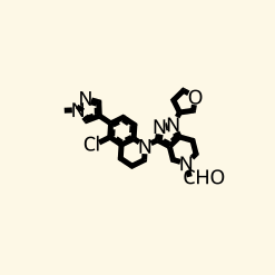 Cn1cc(-c2ccc3c(c2Cl)CCCN3c2nn(C3CCOC3)c3c2CN(C=O)CC3)cn1